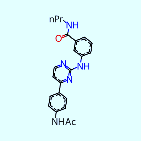 CCCNC(=O)c1cccc(Nc2nccc(-c3ccc(NC(C)=O)cc3)n2)c1